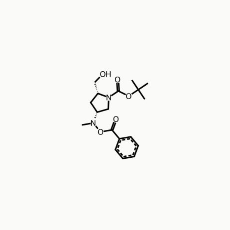 CN(OC(=O)c1ccccc1)[C@@H]1C[C@H](CO)N(C(=O)OC(C)(C)C)C1